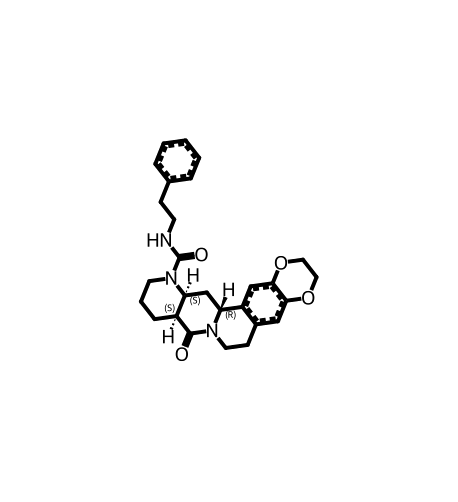 O=C1[C@H]2CCCN(C(=O)NCCc3ccccc3)[C@H]2C[C@@H]2c3cc4c(cc3CCN12)OCCO4